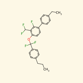 CCCc1ccc(C(F)(F)Oc2ccc(-c3ccc(CC)cc3)c(F)c2C(F)F)cc1